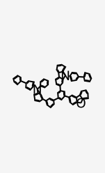 c1ccc(-c2ccc(N(c3ccccc3)c3cccc(-c4cccc(-c5cc(-c6ccc7oc8ccccc8c7c6)cc(-c6ccc7c8ccccc8n(-c8ccc(-c9ccccc9)cc8)c7c6)c5)c4)c3)cc2)cc1